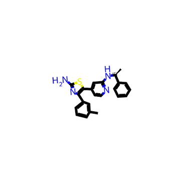 Cc1cccc(-c2nc(N)sc2-c2ccnc(N[C@@H](C)c3ccccc3)c2)c1